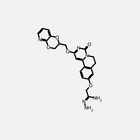 N/N=C(\N)COc1ccc2c(c1)CCn1c-2cc(OCC2COc3ncccc3O2)nc1=O